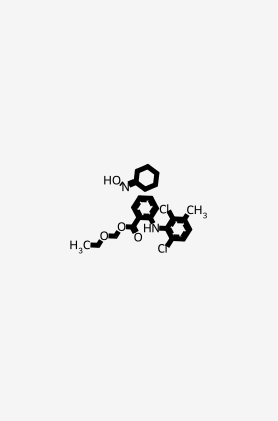 CCOCOC(=O)c1ccccc1Nc1c(Cl)ccc(C)c1Cl.ON=C1CCCCC1